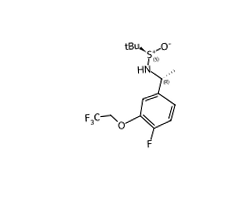 C[C@@H](N[S@+]([O-])C(C)(C)C)c1ccc(F)c(OCC(F)(F)F)c1